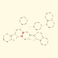 c1ccc(N(c2ccc(-c3cccc4ccccc34)cc2)c2cccc3oc4c5ccccc5ccc4c23)c(-c2ccc3sc4ccccc4c3c2)c1